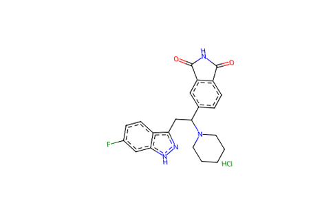 Cl.O=C1NC(=O)c2cc(C(Cc3n[nH]c4cc(F)ccc34)N3CCCCC3)ccc21